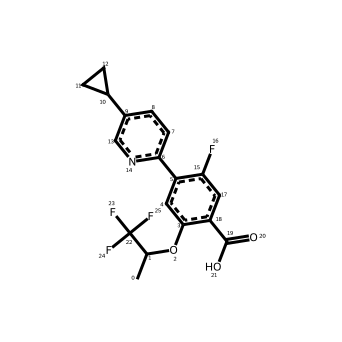 CC(Oc1cc(-c2ccc(C3CC3)cn2)c(F)cc1C(=O)O)C(F)(F)F